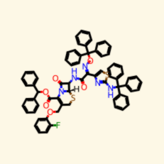 O=C(NC1C(=O)N2C(C(=O)OC(c3ccccc3)c3ccccc3)=C(COc3ccccc3F)CS[C@@H]12)C(=NOC(c1ccccc1)(c1ccccc1)c1ccccc1)c1csc(NC(c2ccccc2)(c2ccccc2)c2ccccc2)n1